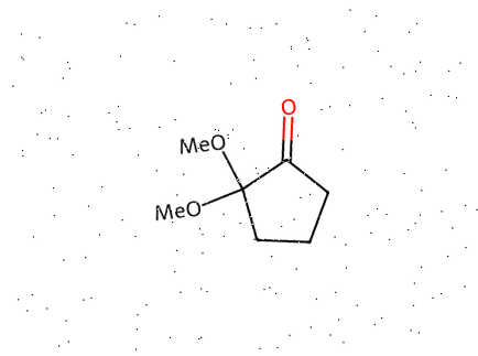 COC1(OC)CCCC1=O